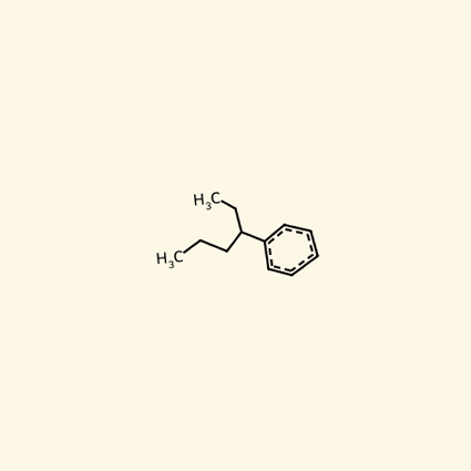 CCCC(CC)c1ccccc1